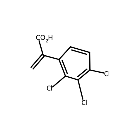 C=C(C(=O)O)c1ccc(Cl)c(Cl)c1Cl